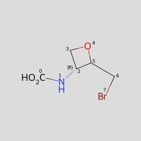 O=C(O)N[C@@H]1COC1CBr